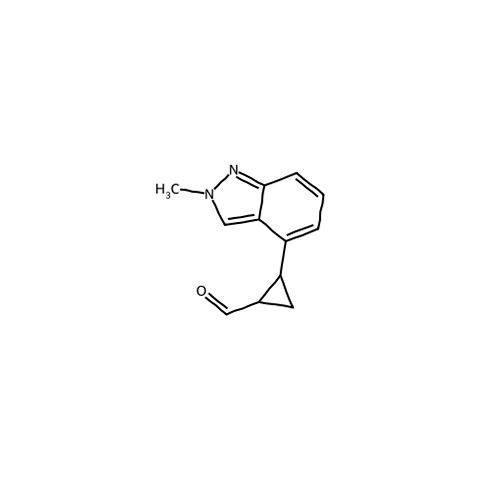 Cn1cc2c(C3CC3C=O)cccc2n1